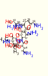 CN[C@@H]1[C@@H](O)[C@@H](O[C@H]2[C@H](NC(=O)[C@@H](O)CCN)C[C@H](N)C([C@H]3OC(CN)=CC[C@H]3NCC(N)CO)[C@@H]2O)OC[C@]1(C)O